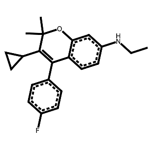 CCNc1ccc2c(c1)OC(C)(C)C(C1CC1)=C2c1ccc(F)cc1